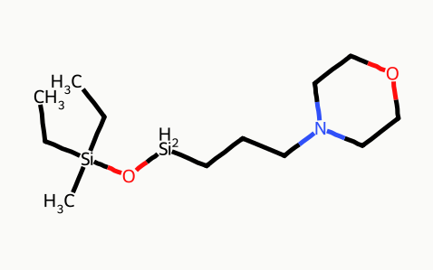 CC[Si](C)(CC)O[SiH2]CCCN1CCOCC1